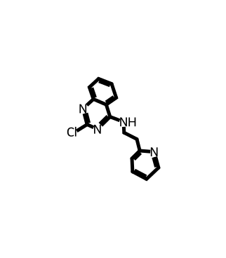 Clc1nc(NCCc2ccccn2)c2ccccc2n1